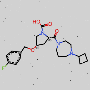 O=C([C@H]1C[C@@H](OCc2ccc(F)cc2)CN1C(=O)O)N1CCCN(C2CCC2)CC1